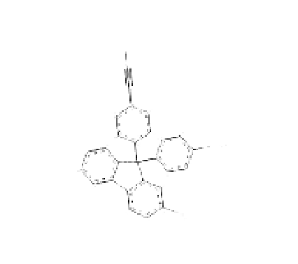 CC#Cc1ccc(C2(c3ccc(CCCCCC)cc3)c3ccccc3-c3ccc(Br)cc32)cc1